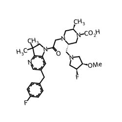 CO[C@@H]1CN(C[C@H]2CN(C(=O)O)[C@H](C)CN2CC(=O)N2CC(C)(C)c3ncc(Cc4ccc(F)cc4)cc32)C[C@@H]1F